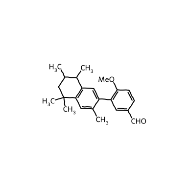 COc1ccc(C=O)cc1-c1cc2c(cc1C)C(C)(C)CC(C)C2C